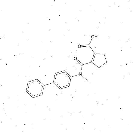 CN(C(=O)C1=C(C(=O)O)CCC1)c1ccc(-c2ccccc2)cc1